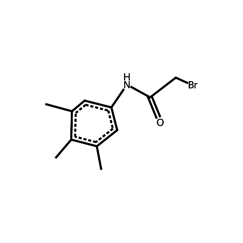 Cc1cc(NC(=O)CBr)cc(C)c1C